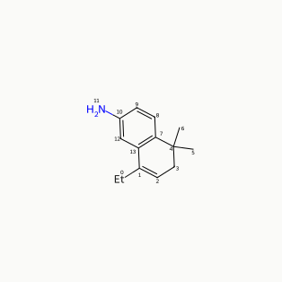 CCC1=CCC(C)(C)c2ccc(N)cc21